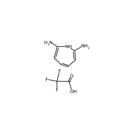 NC1=CC=CC=C(N)N1.O=C(O)C(F)(F)F